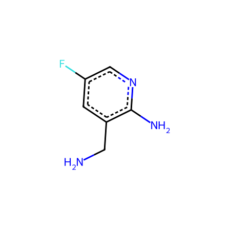 NCc1cc(F)cnc1N